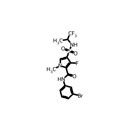 CC(NS(=O)(=O)c1cn(C)c(C(=O)Nc2cccc(Br)c2)c1F)C(F)(F)F